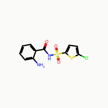 Nc1ccccc1C(=O)NS(=O)(=O)c1ccc(Cl)s1